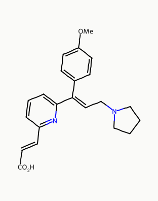 COc1ccc(/C(=C\CN2CCCC2)c2cccc(/C=C/C(=O)O)n2)cc1